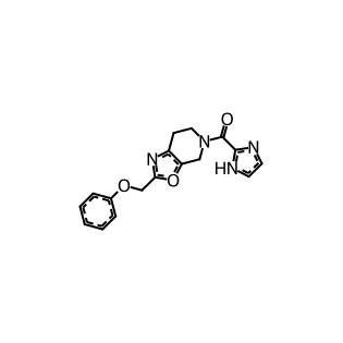 O=C(c1ncc[nH]1)N1CCc2nc(COc3ccccc3)oc2C1